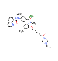 COc1cc(C(=O)N(C)c2ccc(C)cc2OCCCCCC(=O)N2CCN(C)CC2)ccc1NC(=O)c1cccc2cccnc12.Cl.Cl